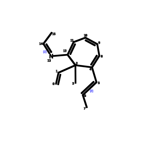 C=CC1(C)C(/C=C/C)=CC=CC=C1/N=C\C